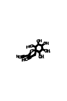 C#CCOC1(CC#C)C(O)C(O)C(O)C(O)C1O